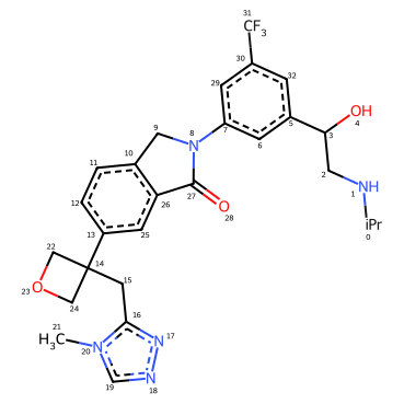 CC(C)NCC(O)c1cc(N2Cc3ccc(C4(Cc5nncn5C)COC4)cc3C2=O)cc(C(F)(F)F)c1